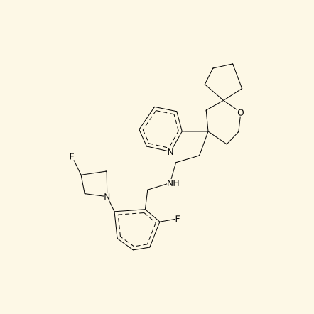 Fc1cccc(N2CC(F)C2)c1CNCCC1(c2ccccn2)CCOC2(CCCC2)C1